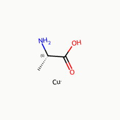 C[C@H](N)C(=O)O.[Cu]